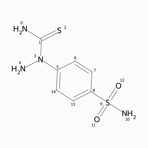 NC(=S)N(N)c1ccc(S(N)(=O)=O)cc1